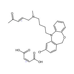 CC(=O)/C=C/CN(C)CCCCN1c2cc(Cl)ccc2COc2ccccc21.O=C(O)/C=C\C(=O)O